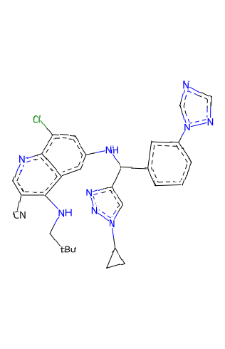 CC(C)(C)CNc1c(C#N)cnc2c(Cl)cc(NC(c3cccc(-n4cncn4)c3)c3cn(C4CC4)nn3)cc12